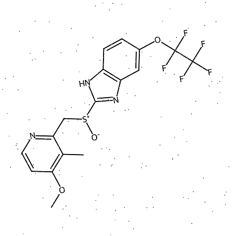 COc1ccnc(C[S+]([O-])c2nc3cc(OC(F)(F)C(F)(F)F)ccc3[nH]2)c1C